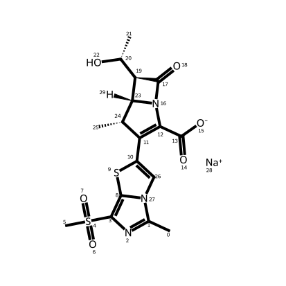 Cc1nc(S(C)(=O)=O)c2sc(C3=C(C(=O)[O-])N4C(=O)[C@H]([C@@H](C)O)[C@H]4[C@H]3C)cn12.[Na+]